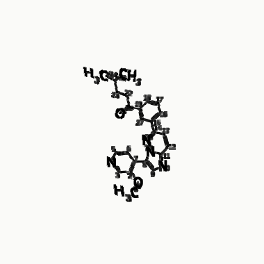 COc1cnccc1-c1cnc2ccc(-c3cccc(C(=O)CCC(C)C)c3)nn12